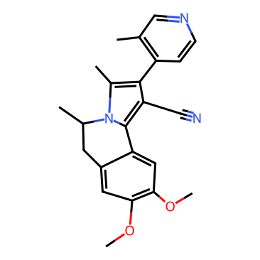 COc1cc2c(cc1OC)-c1c(C#N)c(-c3ccncc3C)c(C)n1C(C)C2